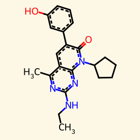 CCNc1nc(C)c2cc(-c3cccc(O)c3)c(=O)n(C3CCCC3)c2n1